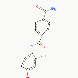 NC(=O)c1ccc(C(=O)Nc2ccc(O)cc2O)cc1